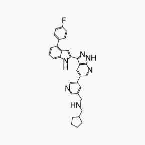 Fc1ccc(-c2cccc3[nH]c(-c4n[nH]c5ncc(-c6cncc(CNCC7CCCC7)c6)cc45)cc23)cc1